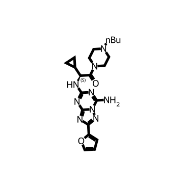 CCCCN1CCN(C(=O)[C@@H](Nc2nc(N)n3nc(-c4ccco4)nc3n2)C2CC2)CC1